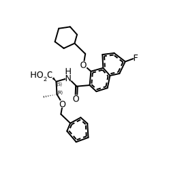 C[C@@H](OCc1ccccc1)[C@H](NC(=O)c1ccc2cc(F)ccc2c1OCC1CCCCC1)C(=O)O